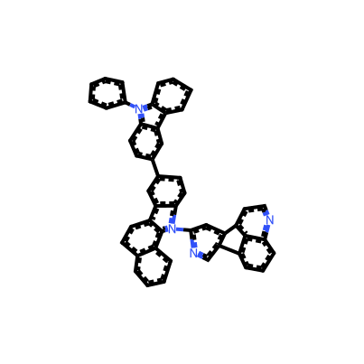 c1ccc(-n2c3ccccc3c3cc(-c4ccc5c(c4)c4ccc6ccccc6c4n5-c4cc5c(cn4)-c4cccc6nccc-5c46)ccc32)cc1